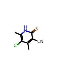 Cc1[nH]c(=S)c(C#N)c(C)c1Cl